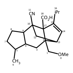 COCC12CC3C(C)CCC3C3(C#N)CC1C=C(C(C)C)C32C(=O)O